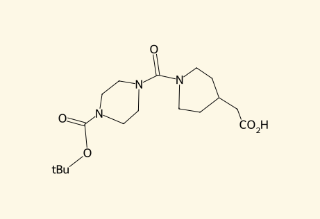 CC(C)(C)OC(=O)N1CCN(C(=O)N2CCC(CC(=O)O)CC2)CC1